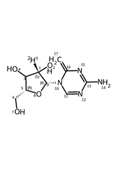 [2H][C@]1(O)C(O)[C@@H](CO)O[C@H]1N1C=NC(N)=NC1=C